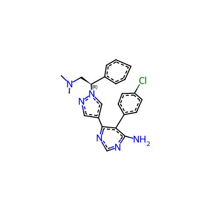 CN(C)C[C@@H](c1ccccc1)n1cc(-c2ncnc(N)c2-c2ccc(Cl)cc2)cn1